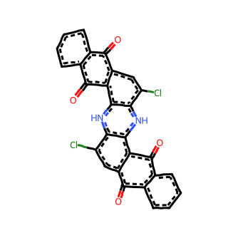 O=c1c2ccccc2c(=O)c2c1cc(Cl)c1[nH]c3c([nH]c12)c(Cl)cc1c(=O)c2ccccc2c(=O)c13